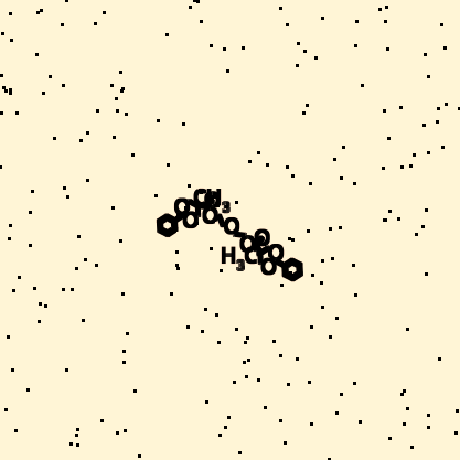 CC1(C(=O)OCCOCCOC(=O)C2(C)COC(c3ccccc3)OC2)COC(c2ccccc2)OC1